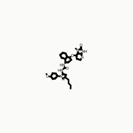 CCCCc1cc(NC(=O)Nc2ccc(Oc3ccnc4[nH]c(=O)n(C)c34)c3ccccc23)n(-c2ccc(OC)cc2)n1